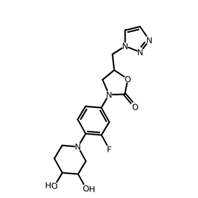 O=C1OC(Cn2ccnn2)CN1c1ccc(N2CCC(O)C(O)C2)c(F)c1